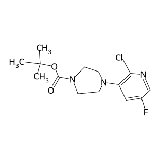 CC(C)(C)OC(=O)N1CCN(c2cc(F)cnc2Cl)CC1